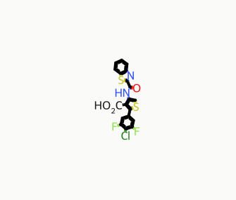 O=C(Nc1csc(-c2cc(F)c(Cl)c(F)c2)c1C(=O)O)c1nc2ccccc2s1